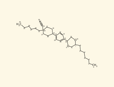 CCCCCCCC1COC(c2ccc(C3CCC(C#N)(CCCCCC)CC3)cc2)CO1